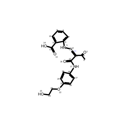 CC(=O)/C(=N/Nc1ccccc1C(=O)O)C(=O)Nc1ccc(OCCO)cc1